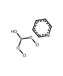 OB(OCl)OCl.c1ccncc1